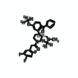 [2H]C([2H])([2H])Oc1cccc([C@]2(OC(=O)c3ccccc3)CCN(C(=O)Cc3cc(F)c(F)cc3F)C[C@H]2CN(C)C([2H])([2H])[2H])c1